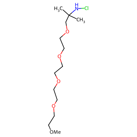 COCCOCCOCCOCCOCC(C)(C)NCl